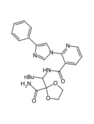 CCCCC(NC(=O)c1cccnc1-n1cnc(-c2ccccc2)c1)C1(C(N)=O)OCCO1